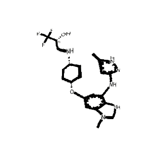 Cc1cc(Nc2cc(O[C@H]3CC[C@@H](NC[C@@H](O)C(F)(F)F)CC3)cc3c2NCN3C)n[nH]1